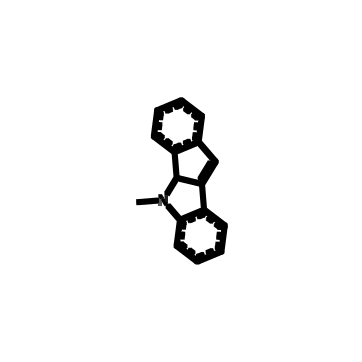 CN1c2ccccc2C2=Cc3ccccc3C21